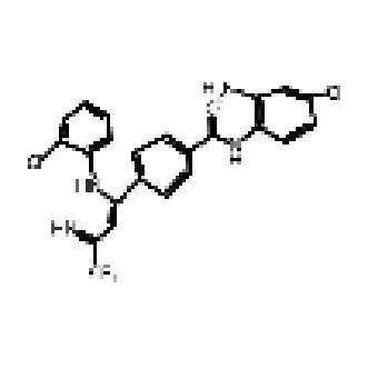 N=C(/C=C(\Nc1ccccc1Cl)c1ccc(C(=O)Nc2ccc(Cl)cc2N)cc1)C(F)(F)F